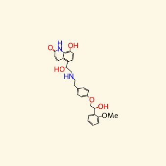 COc1ccccc1[C@H](O)COc1ccc(CCNC[C@H](O)c2ccc(O)c3[nH]c(=O)ccc23)cc1